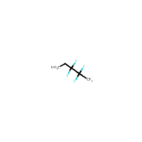 CCOC(=O)CC(F)(F)C(F)(F)C(F)(F)F